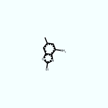 CCc1nc2c(N)cc(C)cc2o1